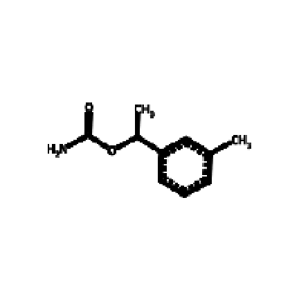 Cc1cccc(C(C)OC(N)=O)c1